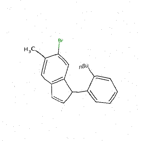 CCCCc1ccccc1C1C=Cc2cc(C)c(Br)cc21